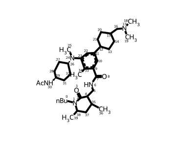 CCCCN1C(=O)C(CNC(=O)c2cc(C3CCC(CN(C)C)CC3)cc(N(C)[C@H]3CC[C@H](NC(C)=O)CC3)c2C)C(C)CC1C